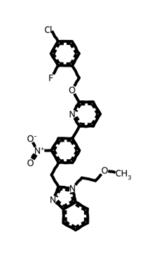 COCCn1c(Cc2ccc(-c3cccc(OCc4ccc(Cl)cc4F)n3)cc2[N+](=O)[O-])nc2ccccc21